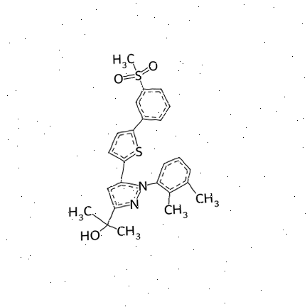 Cc1cccc(-n2nc(C(C)(C)O)cc2-c2ccc(-c3cccc(S(C)(=O)=O)c3)s2)c1C